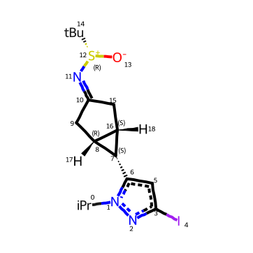 CC(C)n1nc(I)cc1[C@@H]1[C@@H]2CC(=N[S@@+]([O-])C(C)(C)C)C[C@@H]21